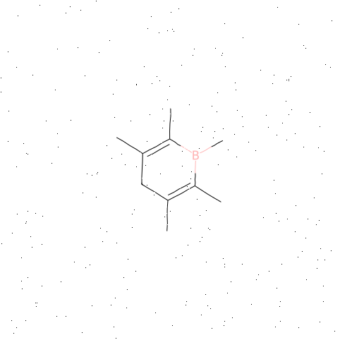 CB1C(C)=C(C)CC(C)=C1C